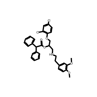 COc1ccc(CCNCC(COc2ccc(Cl)cc2Cl)OC(=O)C(c2ccccc2)c2ccccc2)cc1OC